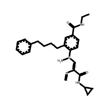 C=N/C(=C\N(N)c1ccc(C(=O)NCC)cc1CCCCc1ccccc1)C(=O)NC1CC1